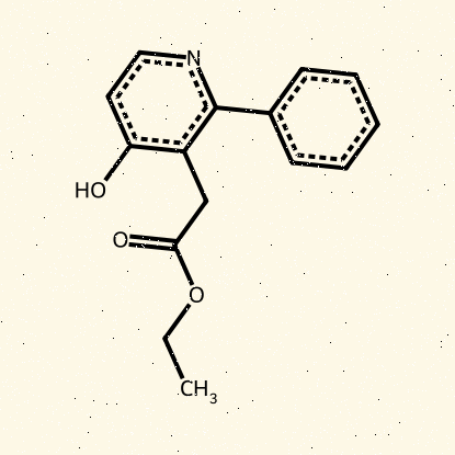 CCOC(=O)Cc1c(O)ccnc1-c1ccccc1